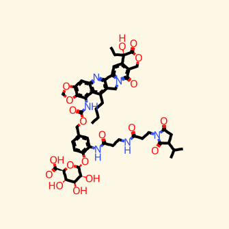 CCCCc1c2c(nc3cc4c(c(NC(=O)OCc5ccc(O[C@@H]6O[C@H](C(=O)O)[C@@H](O)[C@H](O)[C@H]6O)c(NC(=O)CCNC(=O)CCN6C(=O)CC(C(C)C)C6=O)c5)c13)OCO4)-c1cc3c(c(=O)n1C2)COC(=O)[C@]3(O)CC